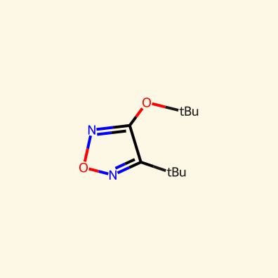 CC(C)(C)Oc1nonc1C(C)(C)C